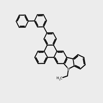 CCn1c2ccccc2c2cc3c4ccc(-c5cccc(-c6ccccc6)c5)cc4c4ccccc4c3cc21